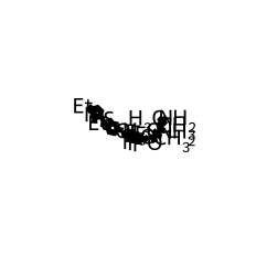 CCc1ccc(-c2cc3ccc(OCC(F)(F)C(F)(F)C(F)(F)COC(=O)C(C)(C)C(N)CC(C)(C)N)cc3s2)c(CC)n1